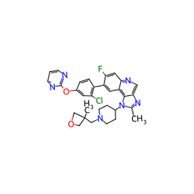 Cc1nc2cnc3cc(F)c(-c4ccc(Oc5ncccn5)cc4Cl)cc3c2n1C1CCN(CC2(C)COC2)CC1